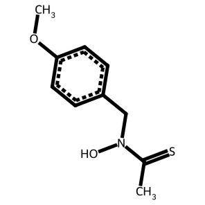 COc1ccc(CN(O)C(C)=S)cc1